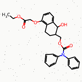 CCOC(=O)COc1cccc2c1CCC(COC(=O)N(c1ccccc1)c1ccccc1)C2O